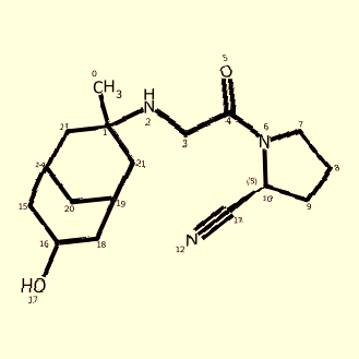 CC1(NCC(=O)N2CCC[C@H]2C#N)CC2CC(O)CC(C2)C1